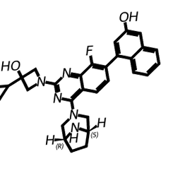 Oc1cc(-c2ccc3c(N4C[C@H]5CC[C@@H](C4)N5)nc(N4CC(O)(C5CC5)C4)nc3c2F)c2ccccc2c1